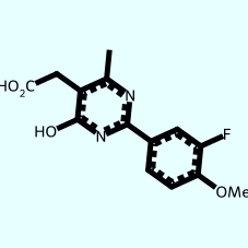 COc1ccc(-c2nc(C)c(CC(=O)O)c(O)n2)cc1F